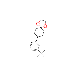 CC(C)(C)c1cccc(C2CCC3(CC2)OCCO3)c1